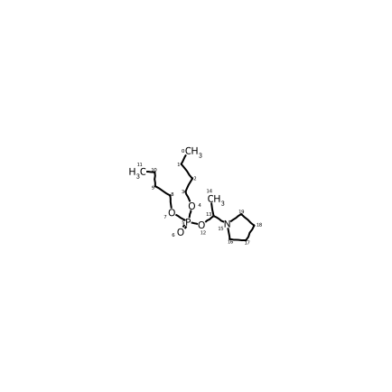 CCCCOP(=O)(OCCCC)OC(C)N1CCCC1